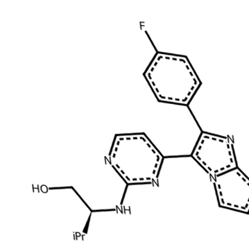 CC(C)[C@@H](CO)Nc1nccc(-c2c(-c3ccc(F)cc3)nc3sccn23)n1